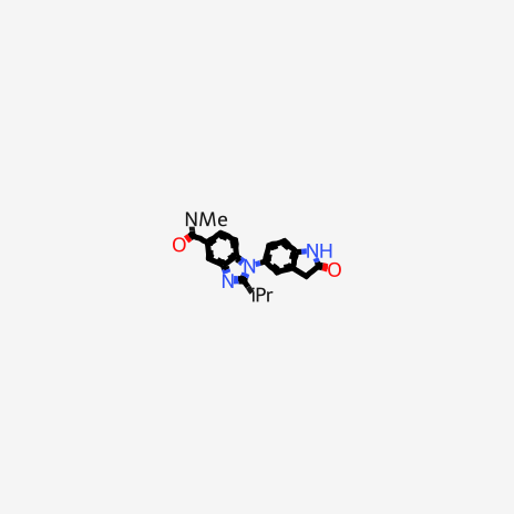 CNC(=O)c1ccc2c(c1)nc(C(C)C)n2-c1ccc2c(c1)CC(=O)N2